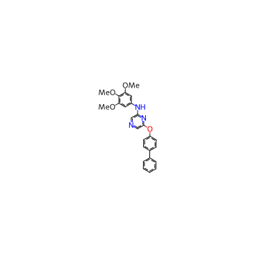 COc1cc(Nc2cncc(Oc3ccc(-c4ccccc4)cc3)n2)cc(OC)c1OC